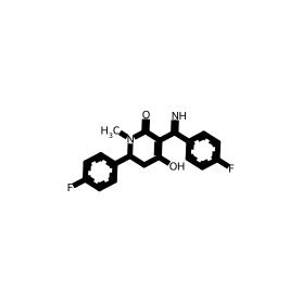 CN1C(=O)C(C(=N)c2ccc(F)cc2)=C(O)CC1c1ccc(F)cc1